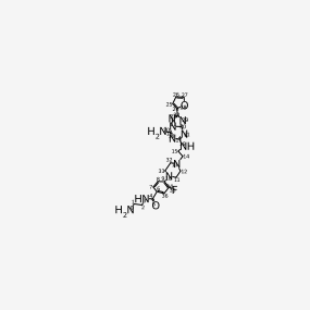 NCCNC(=O)c1ccc(N2CCN(CCNc3nc(N)n4nc(-c5ccco5)nc4n3)CC2)c(F)c1